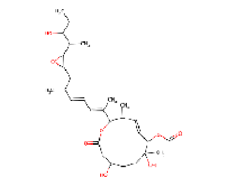 CCC(O)C(C)C1OC1CC(C)/C=C/C=C(\C)C1OC(=O)CC(O)CCC(C)(O)C(OC=O)/C=C/C1C